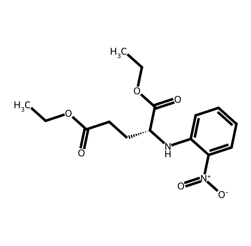 CCOC(=O)CC[C@@H](Nc1ccccc1[N+](=O)[O-])C(=O)OCC